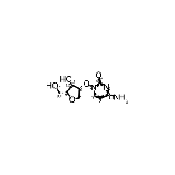 Nc1ccn(O[C@@H]2CO[C@H](CO)[C]2O)c(=O)n1